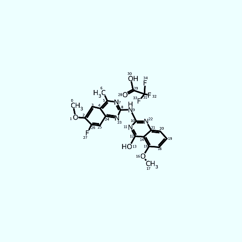 COc1cc2c(C)nc(Nc3nc(O)c4c(OC)cccc4n3)nc2cc1F.O=C(O)C(F)(F)F